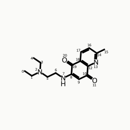 CCN(CC)CCNC1=CC(=O)c2nc(C)ccc2C1=O